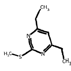 CCc1cc(CC)nc(SC)n1